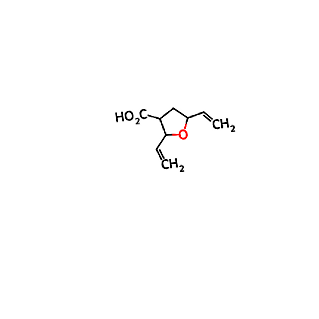 C=CC1CC(C(=O)O)C(C=C)O1